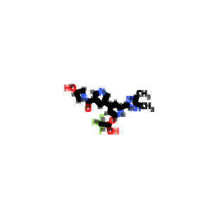 Cc1nc(-c2cc(-c3cncc(C(=O)N4CC(O)C4)c3)ccn2)[nH]c1C.O=C(O)C(F)(F)F